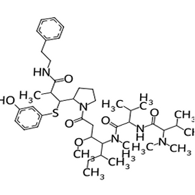 CCC(C)C(C(CC(=O)N1CCCC1C(Sc1cccc(O)c1)C(C)C(=O)NCCc1ccccc1)OC)N(C)C(=O)C(NC(=O)C(C(C)C)N(C)C)C(C)C